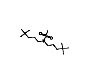 CC(C)(C)CCCN(CCCC(C)(C)C)S(C)(=O)=O